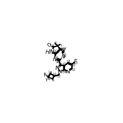 CC1(C)C(=O)Nc2nc(-c3nn(CC4CC(F)(F)C4)c4ncc(F)cc34)nnc21